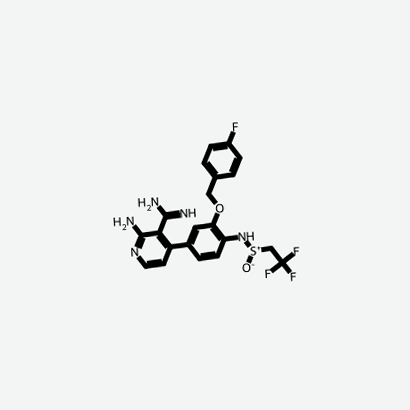 N=C(N)c1c(-c2ccc(N[S+]([O-])CC(F)(F)F)c(OCc3ccc(F)cc3)c2)ccnc1N